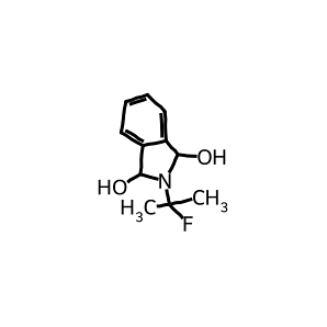 CC(C)(F)N1C(O)c2ccccc2C1O